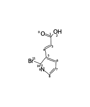 O=C(O)C=Cc1cccnc1Br